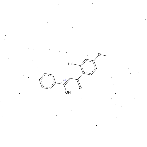 COc1ccc(C(=O)/C=C(\O)c2ccccc2)c(O)c1